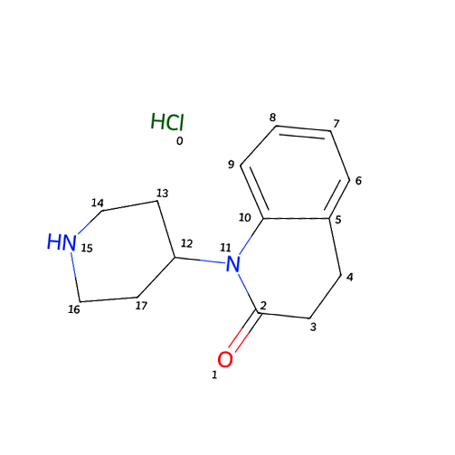 Cl.O=C1CCc2ccccc2N1C1CCNCC1